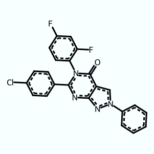 O=c1c2cn(-c3ccccc3)nc2nc(-c2ccc(Cl)cc2)n1-c1ccc(F)cc1F